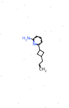 C=CCC1[CH]C(c2cccc(N)n2)C1